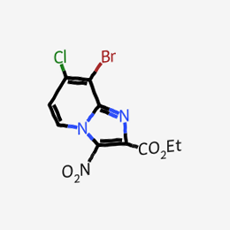 CCOC(=O)c1nc2c(Br)c(Cl)ccn2c1[N+](=O)[O-]